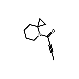 CC#CC(=O)N1CCCCC12CC2